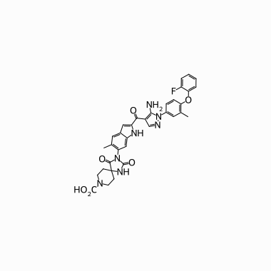 Cc1cc(-n2ncc(C(=O)c3cc4cc(C)c(N5C(=O)NC6(CCN(C(=O)O)CC6)C5=O)cc4[nH]3)c2N)ccc1Oc1ccccc1F